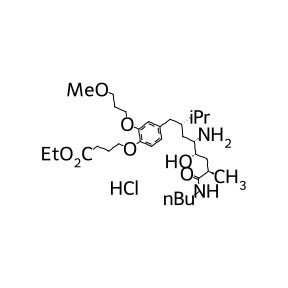 CCCCNC(=O)[C@H](C)C[C@H](O)[C@@H](N)C[C@H](Cc1ccc(OCCCC(=O)OCC)c(OCCCOC)c1)C(C)C.Cl